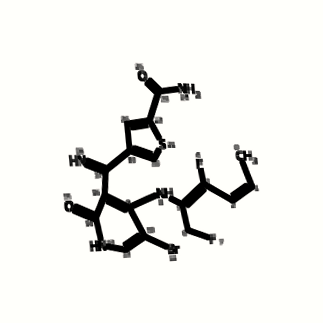 C/C=C\C(F)=C(/CF)Nc1c(Br)c[nH]c(=O)c1C(=N)c1csc(C(N)=O)c1